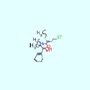 C=CC[C@H](CCCCl)C(=O)N(C)[C@H](C)[C@@H](O)c1ccccc1